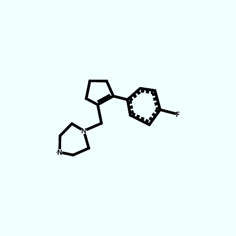 Fc1ccc(C2=C(CN3CC[N]CC3)CCC2)cc1